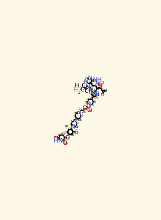 CC(C)(C)n1nc(-c2noc(C3CC3)c2-c2ncc(C3CCN(C(=O)OCCN4CCC(N5CCN(c6c(F)cc(OC7CCC(=O)NC7=O)cc6F)CC5)CC4)CC3)cn2)c2c(N)ncnc21